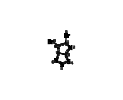 Brc1nc2ssnc-2c1Br